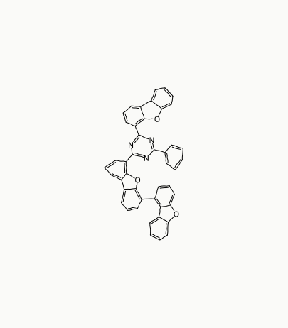 c1ccc(-c2nc(-c3cccc4c3oc3ccccc34)nc(-c3cccc4c3oc3c(-c5cccc6oc7ccccc7c56)cccc34)n2)cc1